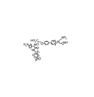 C[n+]1cc(-c2ccc(OC[C@H](O/N=C(\C(=O)NC3C(=O)N(OS(=O)(=O)[O-])C3(C)C)c3csc(N)n3)C(=O)O)cc2)cnc1N(CCN)CC1CNC1